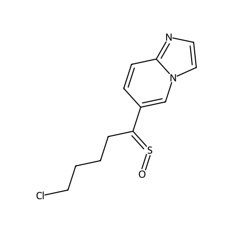 O=S=C(CCCCCl)c1ccc2nccn2c1